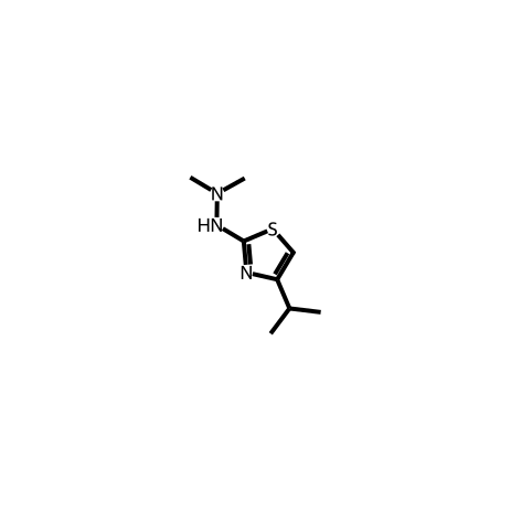 CC(C)c1csc(NN(C)C)n1